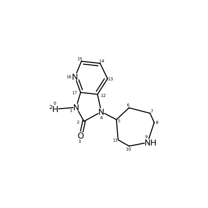 [2H]n1c(=O)n(C2CCCNCC2)c2cccnc21